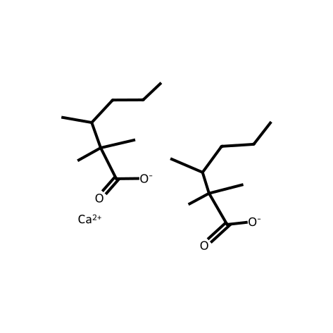 CCCC(C)C(C)(C)C(=O)[O-].CCCC(C)C(C)(C)C(=O)[O-].[Ca+2]